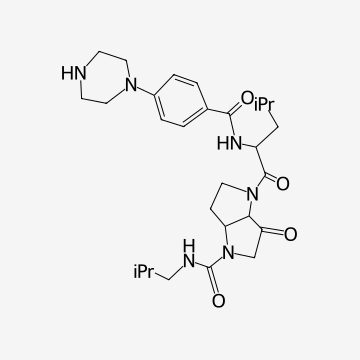 CC(C)CNC(=O)N1CC(=O)C2C1CCN2C(=O)C(CC(C)C)NC(=O)c1ccc(N2CCNCC2)cc1